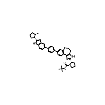 C[C@@H]1CCC[C@@H]1c1nc2cc(-c3ccc(-c4ccc5c(c4)OCCc4[nH]c([C@@H]6CCCN6C(=O)OC(C)(C)C)nc4-5)cc3)ccc2[nH]1